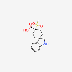 CS(=O)(=O)C1(C(=O)O)CCC2(CC1)CNc1ccccc12